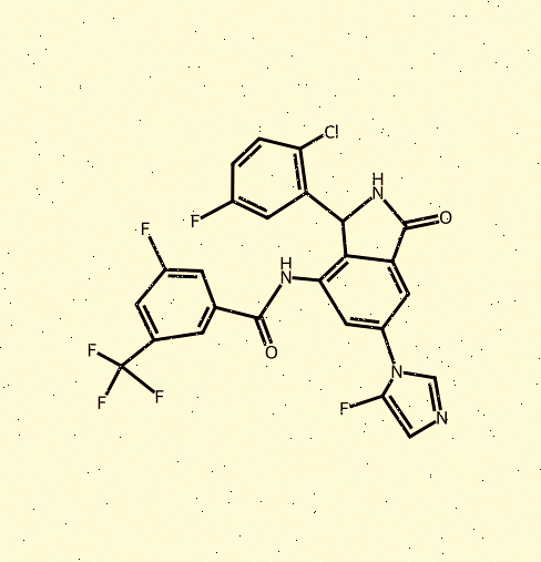 O=C(Nc1cc(-n2cncc2F)cc2c1C(c1cc(F)ccc1Cl)NC2=O)c1cc(F)cc(C(F)(F)F)c1